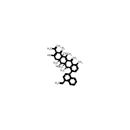 C=Cc1ccc(-c2ccc(C)c3c2[C@@H](C)[C@@]2(C)C(=C(C)[C@@]4(C)C(=C)C(C(=C)C)=C(O)C[C@@]4(C)[C@@H]2O)C3=C)c2ccccc12